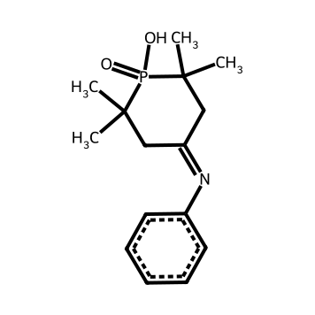 CC1(C)CC(=Nc2ccccc2)CC(C)(C)P1(=O)O